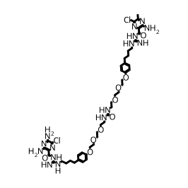 Cc1nc(N)c(C(=O)NC(=N)NCCCCc2ccc(OCCOCCOCCNC(=O)NCCOCCOCCOc3ccc(CCCCNC(=N)NC(=O)c4nc(Cl)c(N)nc4N)cc3)cc2)nc1Cl